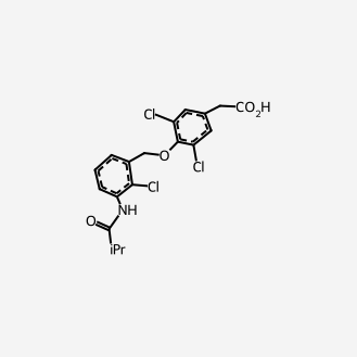 CC(C)C(=O)Nc1cccc(COc2c(Cl)cc(CC(=O)O)cc2Cl)c1Cl